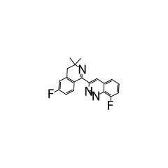 CC1(C)Cc2cc(F)ccc2C(c2cc3cccc(F)c3nn2)=N1